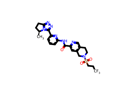 C[C@H]1CCc2nnc(-c3cccc(NC(=O)c4cc5c(cn4)CCN(S(=O)(=O)CCC(F)(F)F)C5)n3)n21